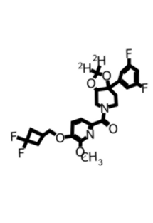 [2H]C1([2H])OC2CN(C(=O)c3ccc(OCC4CC(F)(F)C4)c(OC)n3)CCC2(c2cc(F)cc(F)c2)O1